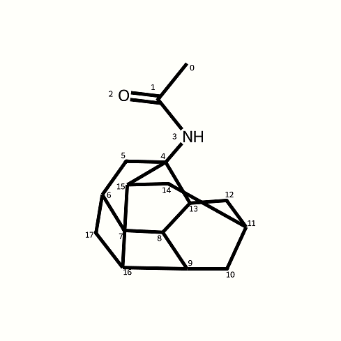 CC(=O)NC12CC3CC4C5CC(CC41)CC2C5C3